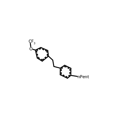 CCCCCc1ccc(CCc2ccc(OC(F)(F)F)cc2)cc1